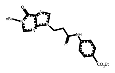 CCCCn1cnc2c(ncn2CCC(=O)Nc2ccc(C(=O)OCC)cc2)c1=O